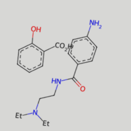 CCN(CC)CCNC(=O)c1ccc(N)cc1.O=C(O)c1ccccc1O